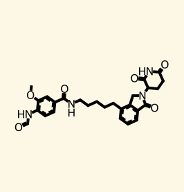 COc1cc(C(=O)NCCCCCc2cccc3c2CN(C2CCC(=O)NC2=O)C3=O)ccc1NC=O